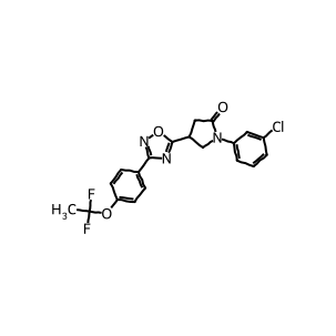 CC(F)(F)Oc1ccc(-c2noc(C3CC(=O)N(c4cccc(Cl)c4)C3)n2)cc1